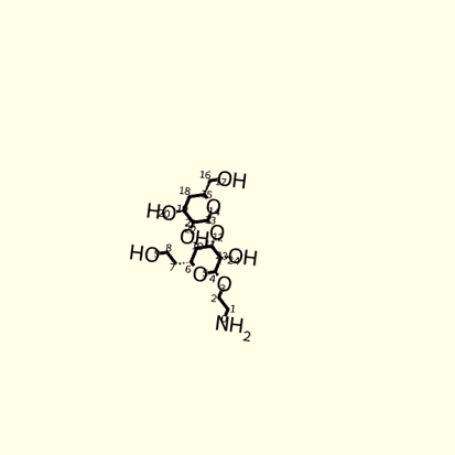 NCCO[C@H]1O[C@H](CCO)C[C@H](O[C@H]2O[C@H](CO)C[C@H](O)[C@@H]2O)[C@@H]1O